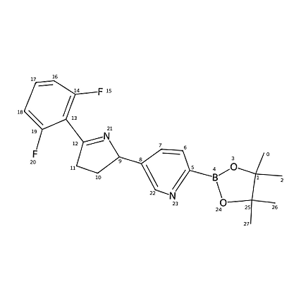 CC1(C)OB(c2ccc(C3CCC(c4c(F)cccc4F)=N3)cn2)OC1(C)C